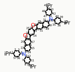 CC(C)c1ccc(N(c2ccc(C(C)C)cc2)c2ccc3cc4c(cc3c2)oc2cc3oc5cc6cc(N(c7ccc(C(C)C)cc7)c7ccc(C(C)C)cc7)ccc6cc5c3cc24)cc1